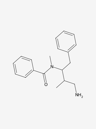 CC(CN)C(Cc1ccccc1)N(C)C(=O)c1ccccc1